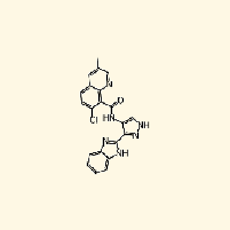 Cc1cnc2c(C(=O)Nc3c[nH]nc3-c3nc4ccccc4[nH]3)c(Cl)ccc2c1